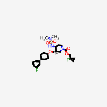 CN(C)S(=O)(=O)NC1CCN(C(=O)OCC2(F)CC2)C[C@H]1CO[C@H]1CC[C@@H](c2cccc(F)c2)CC1